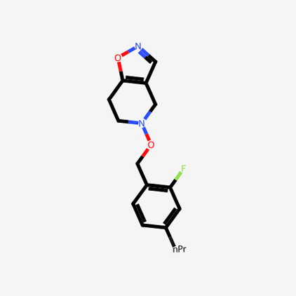 CCCc1ccc(CON2CCc3oncc3C2)c(F)c1